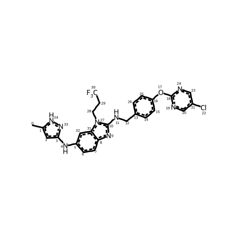 Cc1cc(Nc2ccc3nc(NCc4ccc(Oc5ncc(Cl)cn5)cc4)n(CCC(F)(F)F)c3c2)n[nH]1